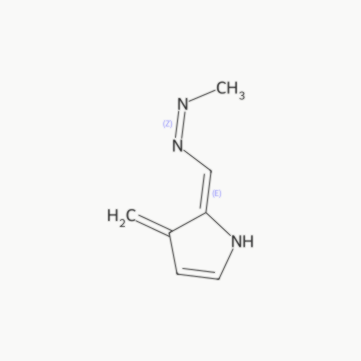 C=c1cc[nH]/c1=C/N=N\C